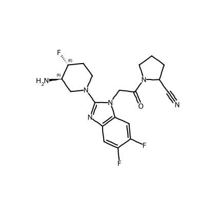 N#CC1CCCN1C(=O)Cn1c(N2CC[C@@H](F)[C@H](N)C2)nc2cc(F)c(F)cc21